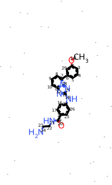 COc1cccc(-c2cccc3nc(Nc4ccc(C(=O)NCCN)cc4)nn23)c1